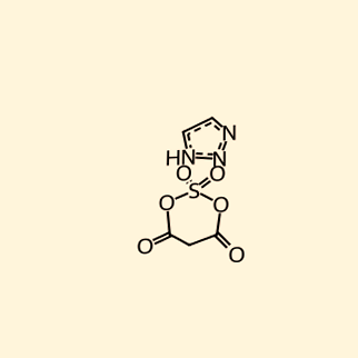 O=C1CC(=O)OS(=O)(=O)O1.c1c[nH]nn1